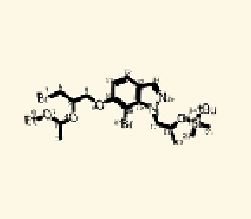 CCOC(C)OC(CBr)COc1ccc2cnn(C[C@H](C)O[Si](C)(C)C(C)(C)C)c2c1Br